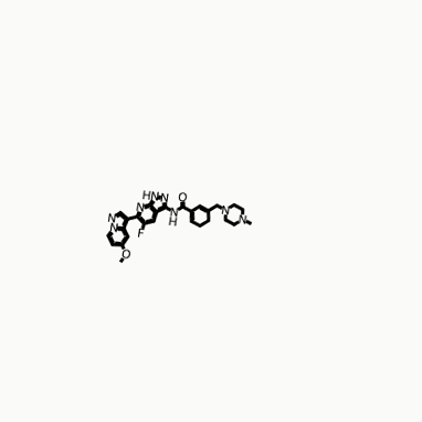 COc1ccn2ncc(-c3nc4[nH]nc(NC(=O)C5=CCCC(CN6CCN(C)CC6)=C5)c4cc3F)c2c1